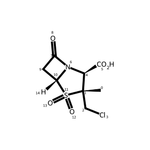 C[C@]1(CCl)[C@H](C(=O)O)N2C(=O)C[C@H]2S1(=O)=O